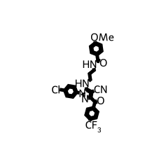 COc1ccc(C(=O)NCCCNc2c(C#N)c(C(=O)c3ccc(C(F)(F)F)cc3)nn2-c2ccc(Cl)cc2)cc1